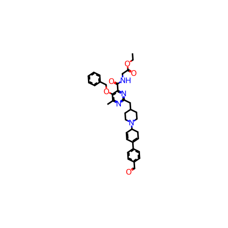 CCOC(=O)CNC(=O)c1nc(CC2CCN(C3C=CC(c4ccc(C=O)cc4)=CC3)CC2)nc(C)c1OCc1ccccc1